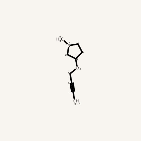 CC#CCOC1CCN(C)C1